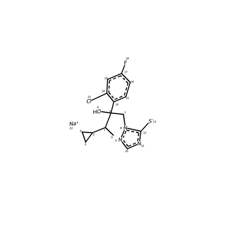 CC(C1CC1)C(O)(Cn1ncnc1[S-])c1ccc(F)cc1Cl.[Na+]